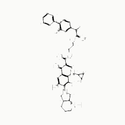 COc1c(N2CC3CCCNC3C2)c(F)cc2c(=O)c(C(=O)OCCOC(=O)C(C)c3ccc(-c4ccccc4)c(F)c3)cn(C3CC3)c12